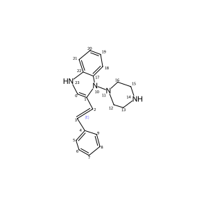 C1=C(/C=C/c2ccccc2)N(N2CCNCC2)c2ccccc2N1